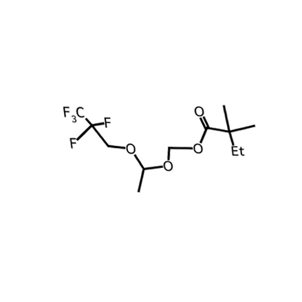 CCC(C)(C)C(=O)OCOC(C)OCC(F)(F)C(F)(F)F